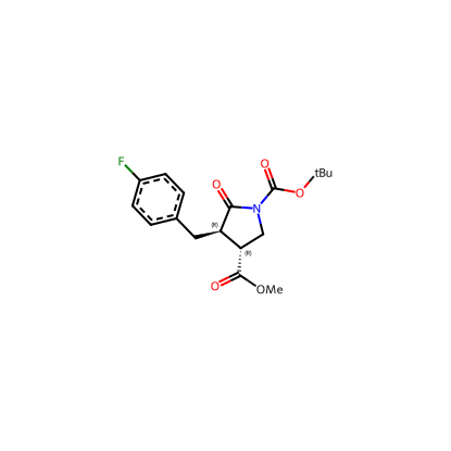 COC(=O)[C@H]1CN(C(=O)OC(C)(C)C)C(=O)[C@@H]1Cc1ccc(F)cc1